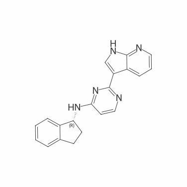 c1ccc2c(c1)CC[C@H]2Nc1ccnc(-c2c[nH]c3ncccc23)n1